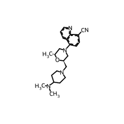 C[C@@H]1CN(c2ccc(C#N)c3ncccc23)C[C@@H](CN2CCC(N(C)C)CC2)O1